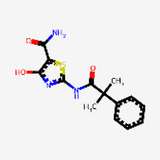 CC(C)(C(=O)Nc1nc(O)c(C(N)=O)s1)c1ccccc1